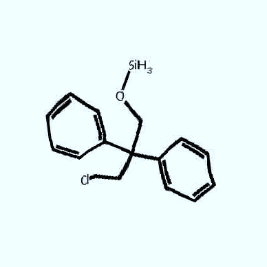 [SiH3]OCC(CCl)(c1ccccc1)c1ccccc1